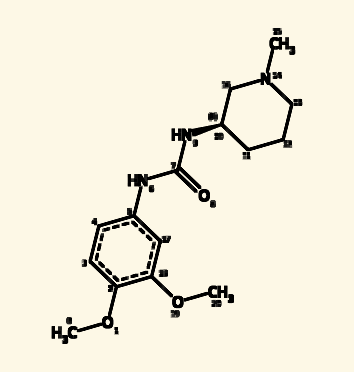 COc1ccc(NC(=O)N[C@@H]2CCCN(C)C2)cc1OC